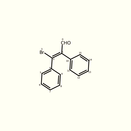 O=C/C(=C(\Br)c1ccccc1)c1ccccc1